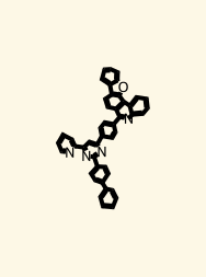 c1ccc(-c2ccc(-c3nc(-c4ccc(-c5nc6ccccc6c6c5ccc5c7ccccc7oc56)cc4)cc(-c4ccccn4)n3)cc2)cc1